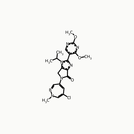 COc1ncc(-c2nc3c(n2C(C)C)CN(C2=CC(Cl)=CN(C)B=C2)C3=O)c(OC)n1